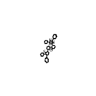 C1=CC2Oc3c(-c4ccc(-c5ccccc5)c5c4sc4ccccc45)cccc3C2C(c2nc(-c3ccccc3)nc(-c3ccccc3)n2)=C1